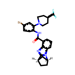 O=C(Nc1ccc(Br)cc1N1CCC(=C(F)F)CC1)c1cccc2c1nc1n2[C@H]2CC[C@@H]1C2